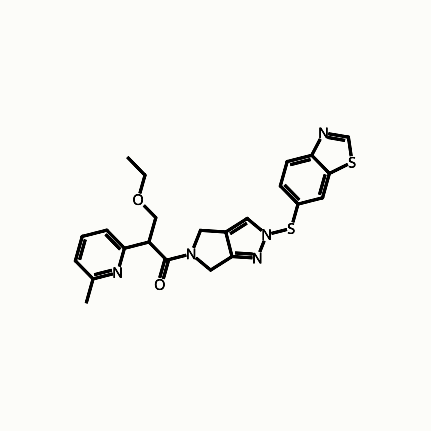 CCOCC(C(=O)N1Cc2cn(Sc3ccc4ncsc4c3)nc2C1)c1cccc(C)n1